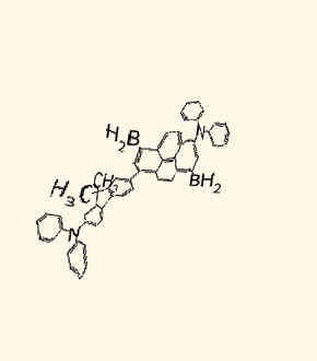 Bc1cc(-c2ccc3c(c2)C(C)(C)c2cc(N(c4ccccc4)c4ccccc4)ccc2-3)c2ccc3c(B)cc(N(c4ccccc4)c4ccccc4)c4ccc1c2c34